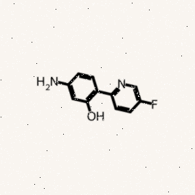 Nc1ccc(-c2ccc(F)cn2)c(O)c1